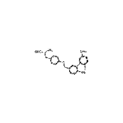 COc1ccc(F)c(-c2cc(COc3ccc(C[C@@H](C)C=O)cc3)ccc2C(C)(C)C)c1